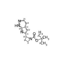 CC(C)(C)OC(=O)N1CCC1c1cc2ccn[nH]c-2n1